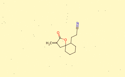 C=C1CC2(CCCCC2CCC#N)OC1=O